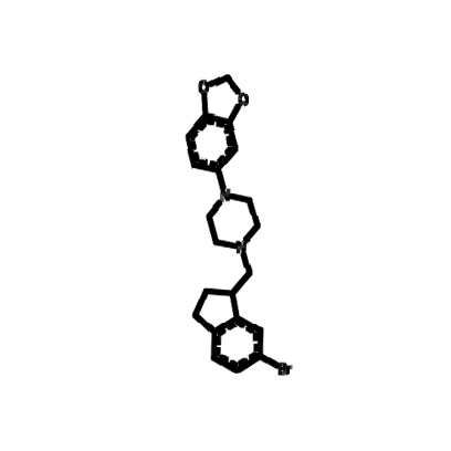 Brc1ccc2c(c1)C(CN1CCN(c3ccc4c(c3)OCO4)CC1)CC2